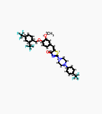 COc1cc(C=C2SC(N3CCN(c4ccc(C(F)(F)F)cc4)CC3)=NC2=O)ccc1OCc1ccc(C(F)(F)F)cc1C(F)(F)F